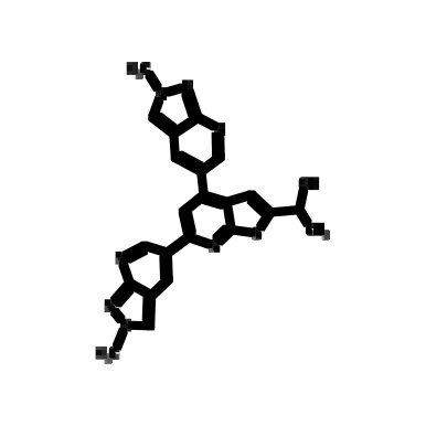 CC(O)c1cc2c(-c3cnc4nn(C)cc4c3)cc(-c3cnc4nn(C)cc4c3)nc2s1